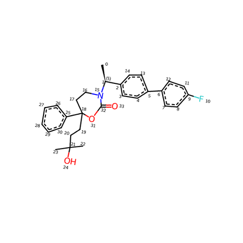 C[C@@H](c1ccc(-c2ccc(F)cc2)cc1)N1CCC(CCC(C)(C)O)(c2ccccc2)OC1=O